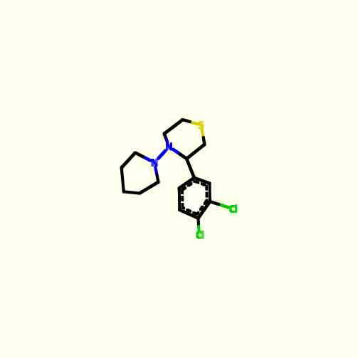 Clc1ccc(C2CSCCN2N2CCCCC2)cc1Cl